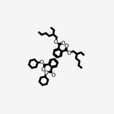 CCCCC(CC)COC(=O)c1ccccc1C(=O)OCC(CC)CCCC.O=C(OC1CCCCC1)c1ccccc1C(=O)OC1CCCCC1